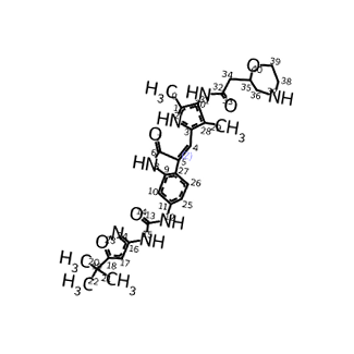 Cc1[nH]c(/C=C2\C(=O)Nc3cc(NC(=O)Nc4cc(C(C)(C)C)on4)ccc32)c(C)c1NC(=O)CC1CNCCO1